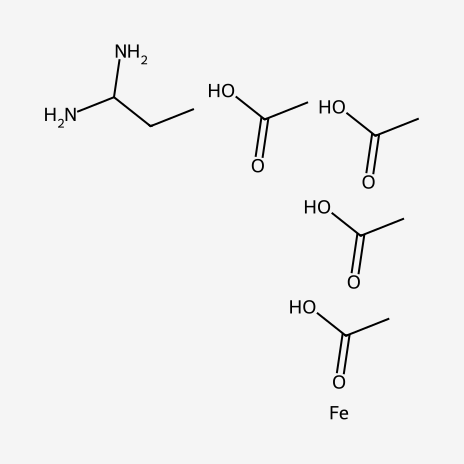 CC(=O)O.CC(=O)O.CC(=O)O.CC(=O)O.CCC(N)N.[Fe]